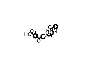 Cc1cc(C(=O)C2CCN(C(=O)CC(C)(C)Cc3nc4ccccc4c(=O)[nH]3)CC2)ccc1C(=O)O